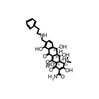 CN(C)[C@@H]1C(O)=C(C(N)=O)C(=O)[C@@]2(O)C(O)=C3C(=O)c4c(ccc(CNCCc5ccccc5)c4O)[C@H](O)[C@H]3[C@H](O)[C@@H]12